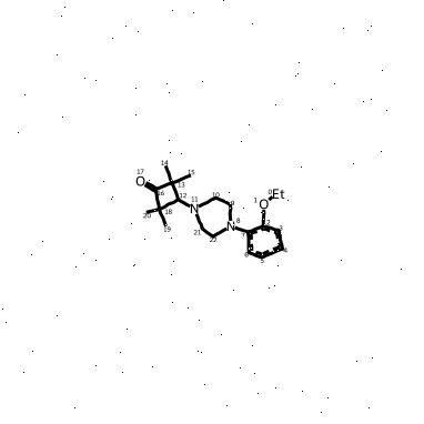 CCOc1ccccc1N1CCN(C2C(C)(C)C(=O)C2(C)C)CC1